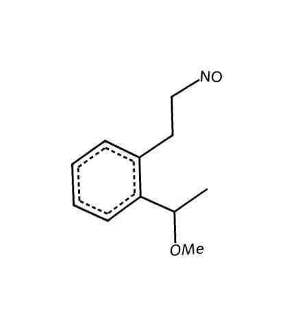 COC(C)c1ccccc1CCN=O